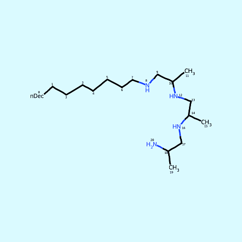 CCCCCCCCCCCCCCCCCNCC(C)NCC(C)NCC(C)N